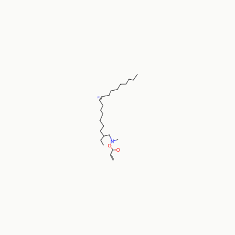 C=CC(=O)ON(C)CC(CC)CCCCCC/C=C\CCCCCCCC